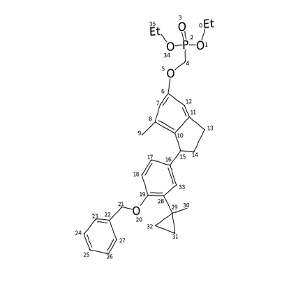 CCOP(=O)(COc1cc(C)c2c(c1)CCC2c1ccc(OCc2ccccc2)c(C2(C)CC2)c1)OCC